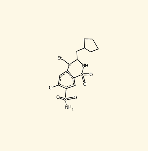 CCN1c2cc(Cl)c(S(N)(=O)=O)cc2S(=O)(=O)NC1CC1CCCC1